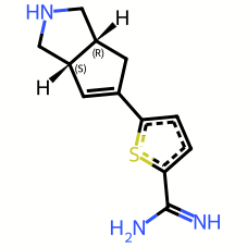 N=C(N)c1ccc(C2=C[C@@H]3CNC[C@@H]3C2)s1